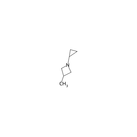 CC1CN(C2CC2)C1